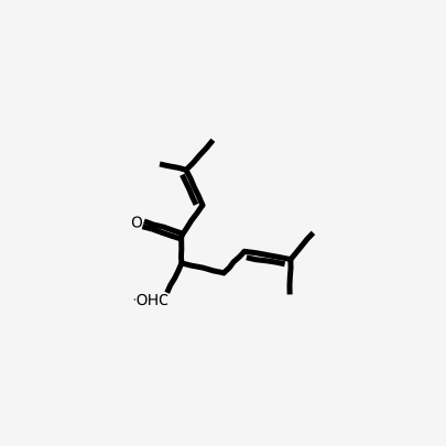 CC(C)=CCC([C]=O)C(=O)C=C(C)C